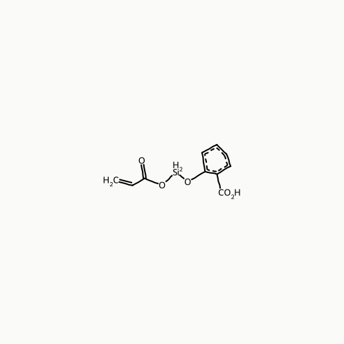 C=CC(=O)O[SiH2]Oc1ccccc1C(=O)O